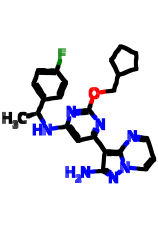 C[C@H](Nc1cc(-c2c(N)nn3cccnc23)nc(OCC2CCCC2)n1)c1ccc(F)cc1